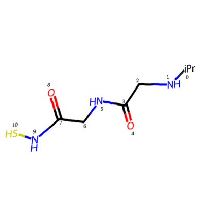 CC(C)NCC(=O)NCC(=O)NS